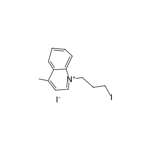 Cc1cc[n+](CCCI)c2ccccc12.[I-]